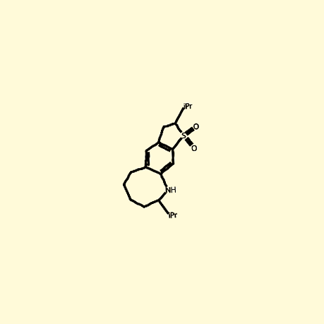 CC(C)C1CCCCc2cc3c(cc2N1)S(=O)(=O)C(C(C)C)C3